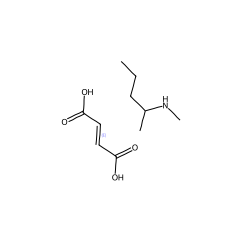 CCCC(C)NC.O=C(O)/C=C/C(=O)O